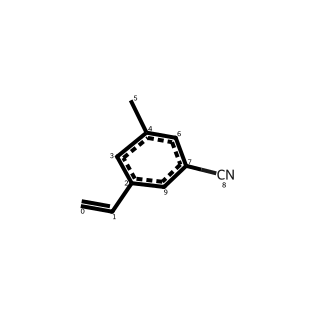 C=Cc1cc(C)cc(C#N)c1